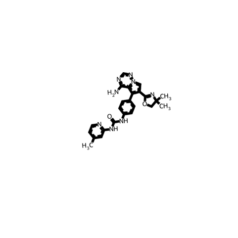 Cc1ccnc(NC(=O)Nc2ccc(-c3c(C4=NC(C)(C)CO4)cn4ncnc(N)c34)cc2)c1